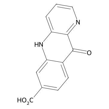 O=C(O)c1ccc2c(=O)c3ncccc3[nH]c2c1